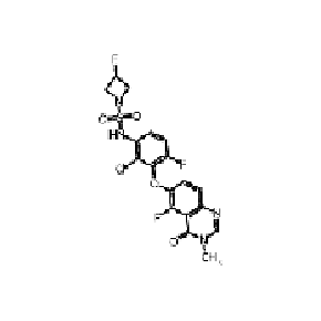 Cn1cnc2ccc(Oc3c(F)ccc(NS(=O)(=O)N4CC(F)C4)c3Cl)c(F)c2c1=O